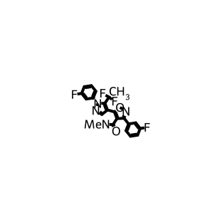 CNC(=O)c1c(-c2cccc(F)c2)noc1-c1cnn(-c2cccc(F)c2)c1C(C)(F)F